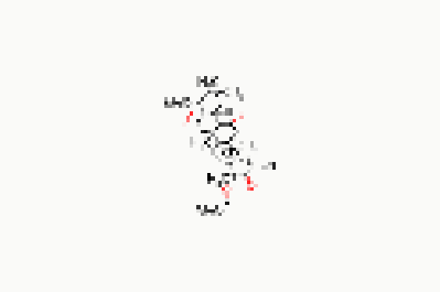 COCOC[C@]1(C)C(=O)C(C#N)=C[C@]2(C)C3=CC(=O)C4[C@H]5CC(C)(C)CC[C@]5(C(=O)OC)CC[C@@]4(C)[C@]3(C)CCC21